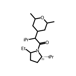 CCC1CC[C@@H](C(C)C)N1C(=O)C(C(C)C)C1CC(C)OC(C)C1